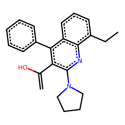 C=C(O)c1c(N2CCCC2)nc2c(CC)cccc2c1-c1ccccc1